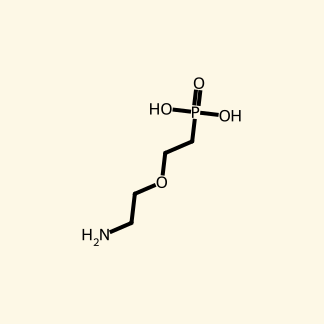 NCCOCCP(=O)(O)O